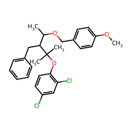 COc1ccc(COC(C)C(Cc2ccccc2)C(C)(C)Oc2ccc(Cl)cc2Cl)cc1